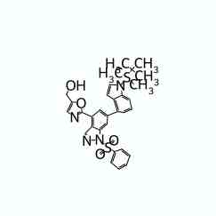 CC(C)(C)S(C)(C)n1ccc2c(-c3cc(-c4ncc(CO)o4)c4cnn(S(=O)(=O)c5ccccc5)c4c3)cccc21